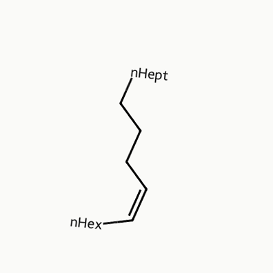 [CH2]CCCCCCCCC/C=C\CCCCCC